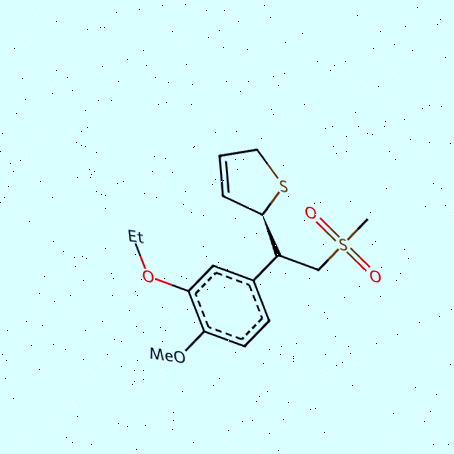 CCOc1cc(C(CS(C)(=O)=O)[C@H]2C=CCS2)ccc1OC